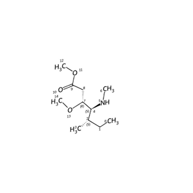 CC[C@H](C)[C@H](NC)[C@@H](CC(=O)OC)OC